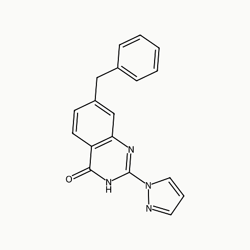 O=c1[nH]c(-n2cccn2)nc2cc(Cc3ccccc3)ccc12